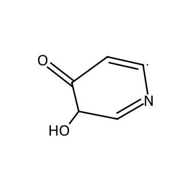 O=C1C=[C]N=CC1O